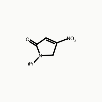 CC(C)N1CC([N+](=O)[O-])=[C]C1=O